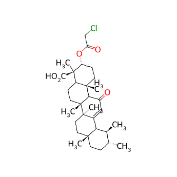 C[C@@H]1CC[C@]2(C)CC[C@]3(C)C(=CC(=O)C4[C@@]5(C)CC[C@@H](OC(=O)CCl)[C@](C)(C(=O)O)C5CC[C@]43C)C2[C@H]1C